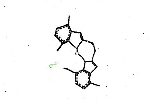 Cc1ccc(C)c2c1C=C1CCC3=Cc4c(C)ccc(C)c4[CH]3[Zr+2][CH]12.[Cl-].[Cl-]